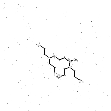 CCCN(CCC)[SiH2]CC[SiH](C)N(CCC)CCC